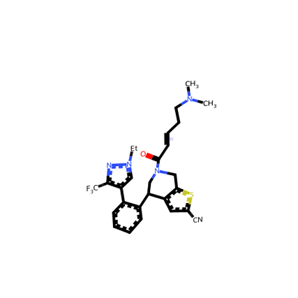 CCn1cc(-c2ccccc2C2CN(C(=O)/C=C/CCN(C)C)Cc3sc(C#N)cc32)c(C(F)(F)F)n1